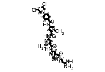 Cn1cc(NC(=O)c2ccc(N(CCCl)CCCl)cc2)cc1C(=O)Nc1cc(C(=O)Nc2cc(C(=O)NCCC(=N)N)n(C)n2)n(C)n1